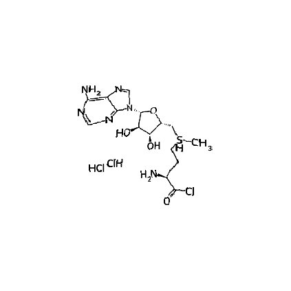 C[SH](CC[C@H](N)C(=O)Cl)C[C@H]1O[C@@H](n2cnc3c(N)ncnc32)[C@H](O)[C@@H]1O.Cl.Cl